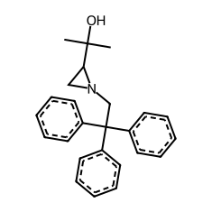 CC(C)(O)C1CN1CC(c1ccccc1)(c1ccccc1)c1ccccc1